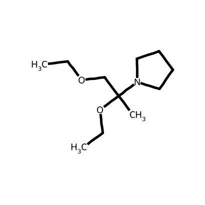 CCOCC(C)(OCC)N1CCCC1